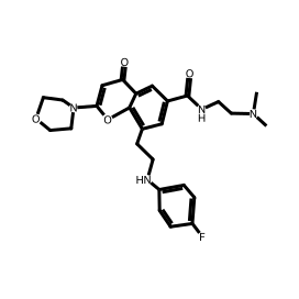 CN(C)CCNC(=O)c1cc(CCNc2ccc(F)cc2)c2oc(N3CCOCC3)cc(=O)c2c1